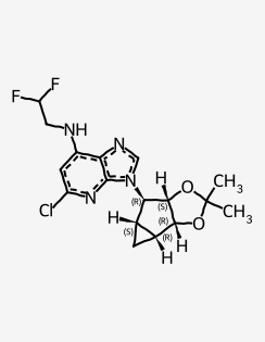 CC1(C)O[C@@H]2[C@@H]3C[C@@H]3[C@@H](n3cnc4c(NCC(F)F)cc(Cl)nc43)[C@@H]2O1